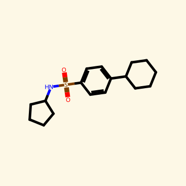 O=S(=O)(NC1CCCC1)c1ccc(C2CCCCC2)cc1